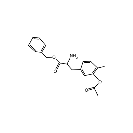 CC(=O)Oc1cc(CC(N)C(=O)OCc2ccccc2)ccc1C